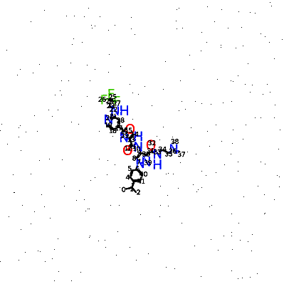 CC(C)c1ccc(-n2cc(NC(=O)c3coc(-c4ccnc(NCC(F)(F)F)c4)n3)c(C(=O)NCCN(C)C)n2)cc1